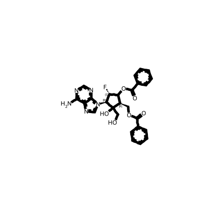 Nc1ncnc2c1ncn2[C@H]1[C@H](F)C(OC(=O)c2ccccc2)[C@@H](COC(=O)c2ccccc2)C1(O)CO